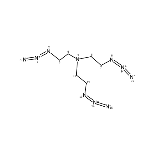 [N-]=[N+]=NCCN(CCN=[N+]=[N-])CCN=[N+]=[N-]